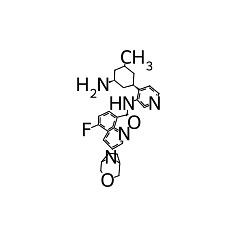 C[C@@H]1C[C@H](N)C[C@H](c2ccncc2NC(=O)c2ccc(F)c3cc(N4C5CCC4COC5)cnc23)C1